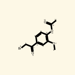 COc1cc(C(=O)CBr)ccc1OC(C)=O